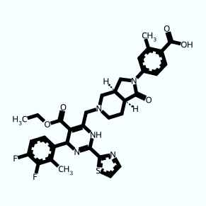 CCOC(=O)C1=C(CN2CC[C@@H]3C(=O)N(c4ccc(C(=O)O)c(C)c4)C[C@@H]3C2)NC(c2nccs2)=NC1c1ccc(F)c(F)c1C